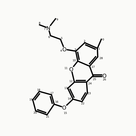 Cc1cc(OCCN(C)C)c2oc3cc(Oc4ccccc4)ccc3c(=O)c2c1